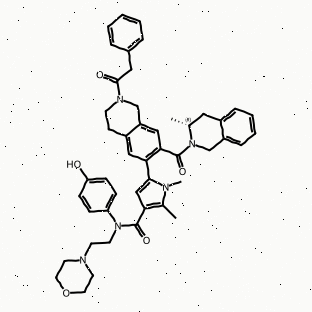 Cc1c(C(=O)N(CCN2CCOCC2)c2ccc(O)cc2)cc(-c2cc3c(cc2C(=O)N2Cc4ccccc4C[C@H]2C)CN(C(=O)Cc2ccccc2)CC3)n1C